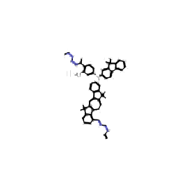 C=C/C=C\C=C\c1cccc2c1C1=C(C=C3C(=CC1)C(C)(C)c1cc(N(c4ccc(C(C)/C=C\C=C/C)c(C(C)(C)C)c4)c4ccc5c(c4)C(C)(C)c4ccccc4-5)ccc13)C2(C)C